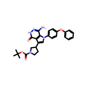 CC(C)(C)OC(=O)N1CCC(c2cn(-c3ccc(Oc4ccccc4)cc3)c3c(N)n[nH]c(=O)c23)C1